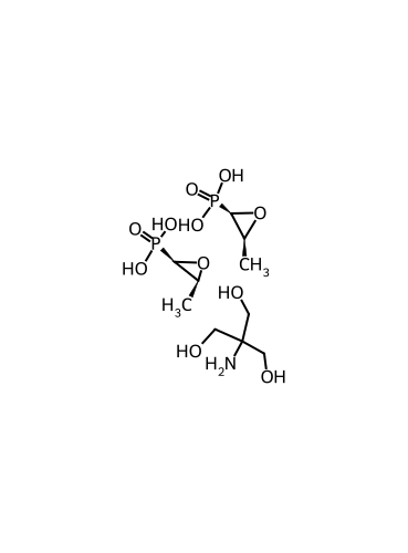 C[C@@H]1O[C@@H]1P(=O)(O)O.C[C@@H]1O[C@@H]1P(=O)(O)O.NC(CO)(CO)CO